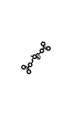 COc1cc(/C=C/c2ccc(N(c3ccccc3)c3ccccc3)cc2)c(C)cc1/C=C/c1ccc(N(c2ccccc2)c2ccccc2)cc1